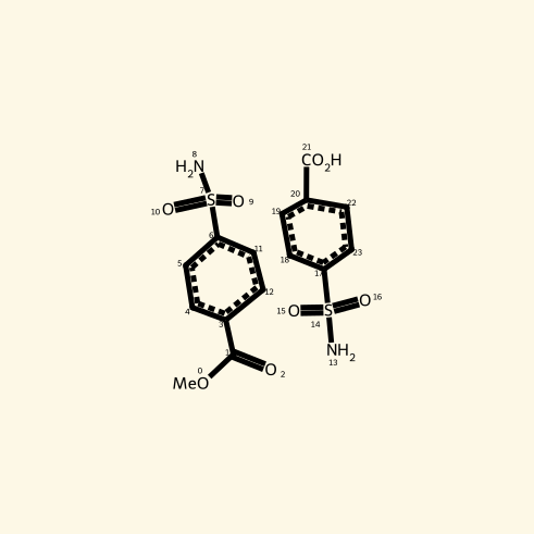 COC(=O)c1ccc(S(N)(=O)=O)cc1.NS(=O)(=O)c1ccc(C(=O)O)cc1